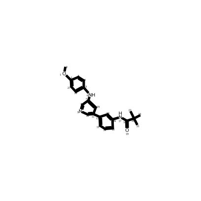 COc1ccc(Nc2cncc(-c3cccc(NC(=O)C(C)(C)C)c3)c2)cc1